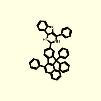 c1ccc(C2=C3Sc4ccccc4C3NC(c3ccc4c(c3)C(c3ccccc3)(c3ccccc3)c3c-4c(-c4ccccc4)cc4ccccc34)N2)cc1